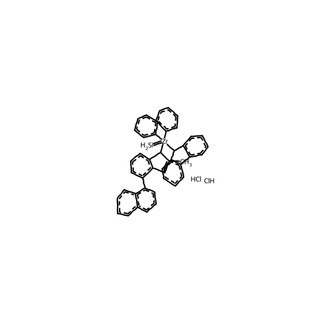 CC1=Cc2c(-c3cccc4ccccc34)cccc2[CH]1[Zr](=[SiH2])([c]1ccccc1)([c]1ccccc1)[CH]1c2ccccc2-c2ccccc21.Cl.Cl